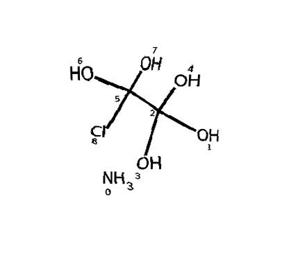 N.OC(O)(O)C(O)(O)Cl